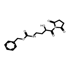 O=C(NCCC(O)C(=O)N1C(=O)CCC1=O)OCc1ccccc1